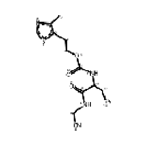 Cc1ncsc1CCOC(=O)NC(CC(C)C)C(=O)NCC#N